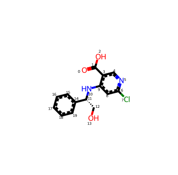 O=C(O)c1cnc(Cl)cc1N[C@H](CO)c1ccccc1